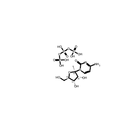 C[C@@]1(n2ccc(N)nc2=O)O[C@H](CO)[C@@H](O)[C@H]1O.O=P(O)(O)OP(=O)(O)OP(=O)(O)O